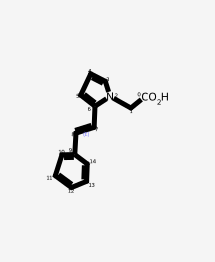 O=C(O)Cn1cccc1/C=C/c1ccccc1